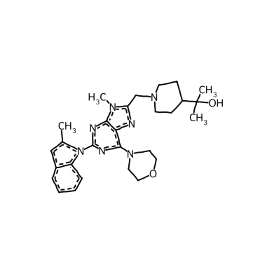 Cc1cc2ccccc2n1-c1nc(N2CCOCC2)c2nc(CN3CCC(C(C)(C)O)CC3)n(C)c2n1